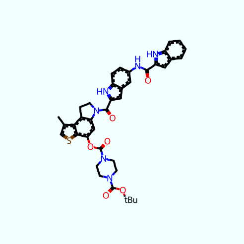 Cc1csc2c(OC(=O)N3CCN(C(=O)OC(C)(C)C)CC3)cc3c(c12)CCN3C(=O)c1cc2cc(NC(=O)c3cc4ccccc4[nH]3)ccc2[nH]1